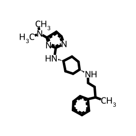 CC(CCN[C@H]1CC[C@@H](Nc2nccc(N(C)C)n2)CC1)c1ccccc1